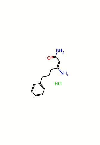 Cl.NC(=O)/C=C(/N)CCCc1ccccc1